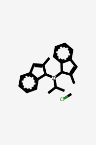 CC1=Cc2ccccc2[CH]1[Zr]([CH](C)C)[CH]1C(C)=Cc2ccccc21.CCl